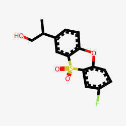 CC(CO)c1ccc2c(c1)S(=O)(=O)c1cc(F)ccc1O2